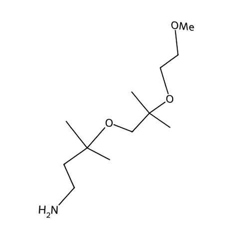 COCCOC(C)(C)COC(C)(C)CCN